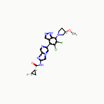 CO[C@@H]1CCN(c2c(F)c(Cl)c(-c3cn4cc(NC(=O)[C@@H]5C[C@@H]5F)nc4cn3)c3cn[nH]c23)C1